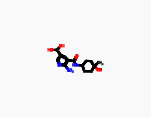 CC1(O)CCC(NC(=O)c2cc(B(O)O)cnc2N)CC1